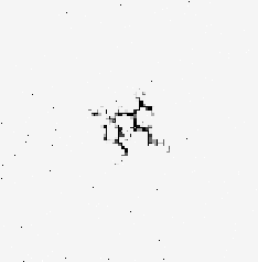 CO[Si](CCCN)(OC)OC(C(C)=O)C(=O)CN